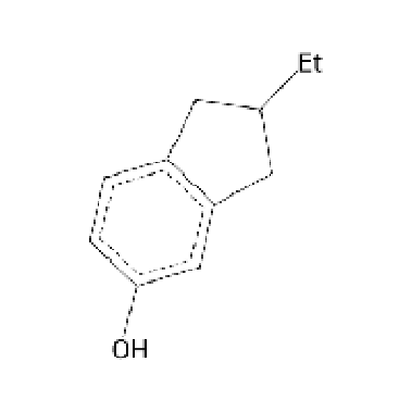 CCC1Cc2ccc(O)cc2C1